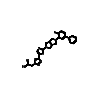 O=C(O)Cn1nnc(-c2cnc(N3CC4CN(c5cc(-c6ccccc6)ccc5F)CC4C3)s2)n1